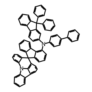 c1ccc(-c2ccc(N(c3ccc4c(c3)C(c3ccccc3)(c3ccccc3)c3ccccc3-4)c3cccc4c3-c3ccccc3C43c4ccccc4-n4c5ccccc5c5cccc3c54)cc2)cc1